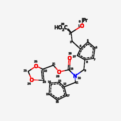 CC(C)O[C@@H](Cc1cccc(CN(Cc2ccccc2)C(=O)OCC2=COCO2)c1)C(=O)O